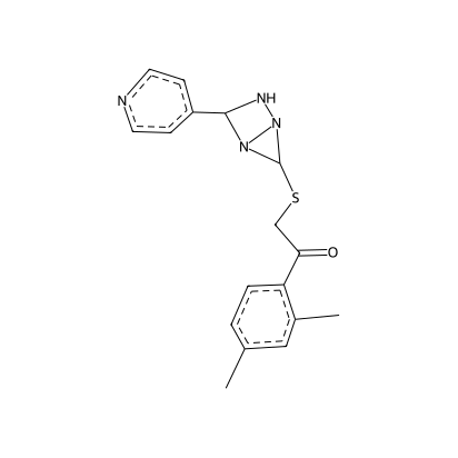 Cc1ccc(C(=O)CSC2N3NC(c4ccncc4)N23)c(C)c1